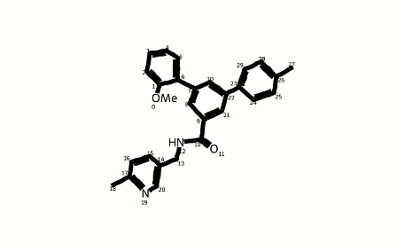 COc1ccccc1-c1cc(C(=O)NCc2ccc(C)nc2)cc(-c2ccc(C)cc2)c1